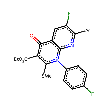 CCOC(=O)c1c(SC)n(-c2ccc(F)cc2)c2nc(C(C)=O)c(F)cc2c1=O